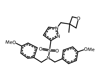 COc1ccc(CN(Cc2ccc(OC)cc2)S(=O)(=O)c2ccn(CC3(C)COC3)n2)cc1